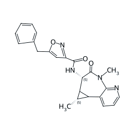 C[C@H]1C2c3cccnc3N(C)C(=O)[C@@H](NC(=O)c3cc(Cc4ccccc4)on3)C21